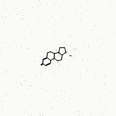 CCS[C@]1(SC)CC[C@H]2[C@@H]3CCC4=CC(=O)C=C[C@]4(C)[C@H]3[C@@H](O)C[C@@]21C